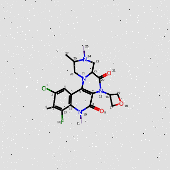 Cc1c(Cl)cc2c3c(c(=O)n(I)c2c1F)N(C1COC1)C(=O)C1CN(I)C(C)CN31